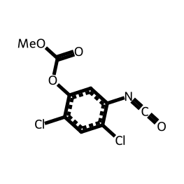 COC(=O)Oc1cc(N=C=O)c(Cl)cc1Cl